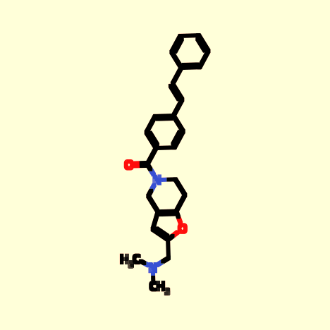 CN(C)Cc1cc2c(o1)CCN(C(=O)c1ccc(/C=C/c3ccccc3)cc1)C2